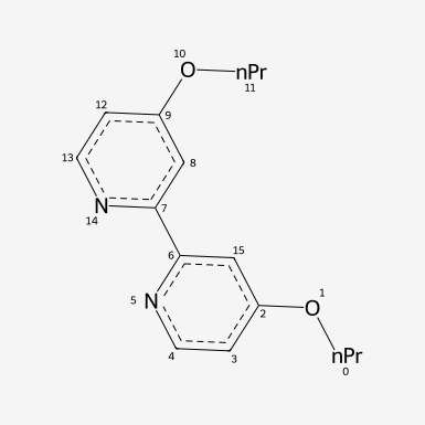 CCCOc1ccnc(-c2cc(OCCC)ccn2)c1